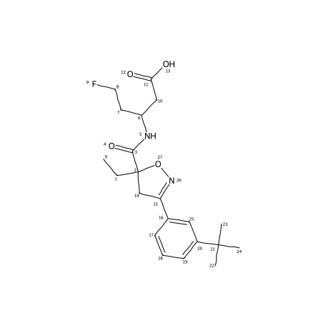 CCC1(C(=O)NC(CCF)CC(=O)O)CC(c2cccc(C(C)(C)C)c2)=NO1